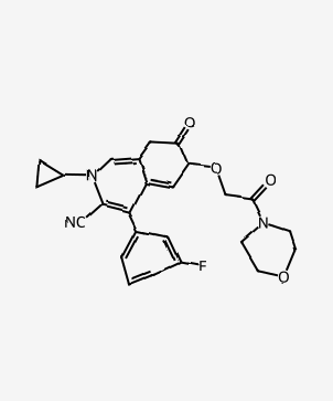 N#CC1=C(c2cccc(F)c2)C2=CC(OCC(=O)N3CCOCC3)C(=O)CC2=CN1C1CC1